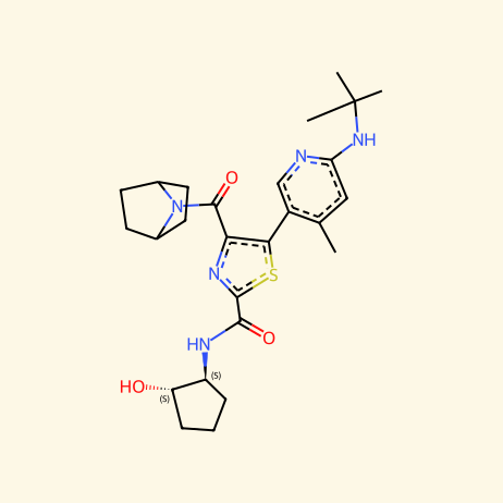 Cc1cc(NC(C)(C)C)ncc1-c1sc(C(=O)N[C@H]2CCC[C@@H]2O)nc1C(=O)N1C2CCC1CC2